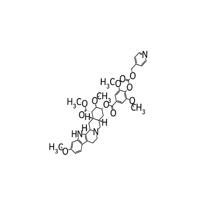 COC(=O)[C@H]1[C@H]2C[C@@H]3c4[nH]c5cc(OC)ccc5c4CCN3C[C@H]2C[C@@H](OC(=O)c2cc(OC)c(OC(=O)OCc3ccncc3)c(OC)c2)[C@@H]1OC